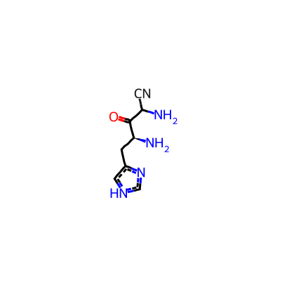 N#CC(N)C(=O)[C@@H](N)Cc1c[nH]cn1